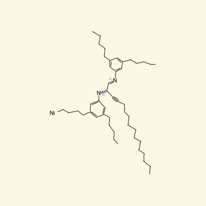 CCCCCCCCCCCCC#CC(/C=N/c1cc(CCCCC)cc(CCCCC)c1)=N\c1cc(CCCCC)cc(CCCCC)c1.[Ni]